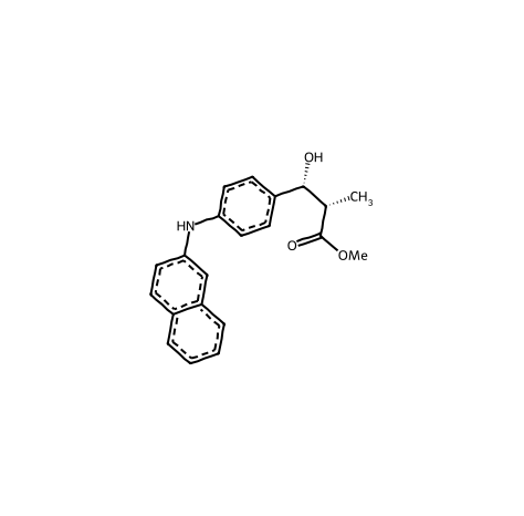 COC(=O)[C@@H](C)[C@@H](O)c1ccc(Nc2ccc3ccccc3c2)cc1